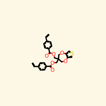 C=Cc1ccc(C(=O)OCC2(COC(=O)c3ccc(C=C)cc3)COc3cscc3OC2)cc1